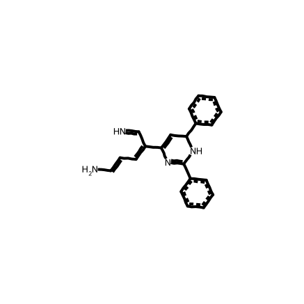 N=C/C(=C\C=C\N)C1=CC(c2ccccc2)NC(c2ccccc2)=N1